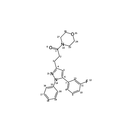 O=C(CCc1cc(-c2cccc(F)c2)n(-c2ccccc2)n1)N1CCOCC1